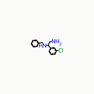 NCC(NCc1ccccc1)c1cccc(Cl)c1